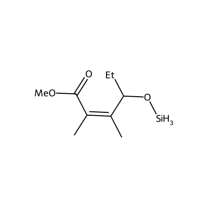 CCC(O[SiH3])C(C)=C(C)C(=O)OC